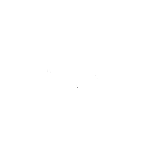 c1cc2cc3c(nc2[nH]1)CC1CCCC1N3